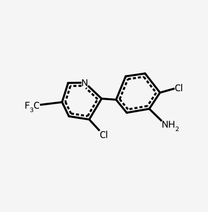 Nc1cc(-c2ncc(C(F)(F)F)cc2Cl)ccc1Cl